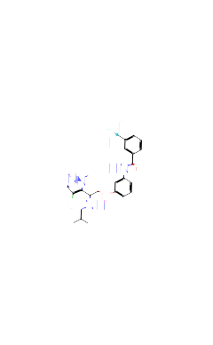 CC(C)CNC(COc1cccc(NC(=O)c2cccc(C(F)(F)F)c2)c1)c1c(Cl)cnn1C